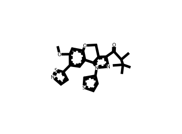 COc1cc2c(cc1-c1ccns1)-c1c(c(C(=O)C(C)C(C)(C)C)nn1-c1ccsc1)CO2